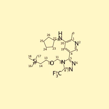 Cc1ncc(-c2nnc(C(F)(F)F)n2COCC[Si](C)(C)C)cc1NC1CCCC1